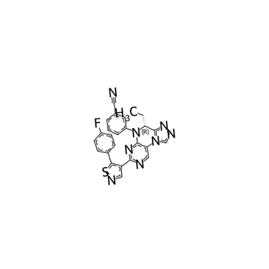 CC[C@@H]1c2nncn2-c2cnc(-c3cnsc3-c3ccc(F)cc3)nc2N1c1cccc(C#N)c1